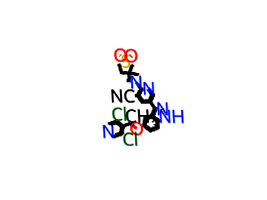 CC(Oc1ccc2[nH]nc(-c3cnc(N4CC5(CCS(=O)(=O)C5)C4)c(C#N)c3)c2c1)c1c(Cl)cncc1Cl